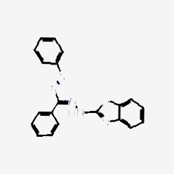 c1ccc(/N=N/C(=N/Nc2nc3ccccc3s2)c2ccccc2)cc1